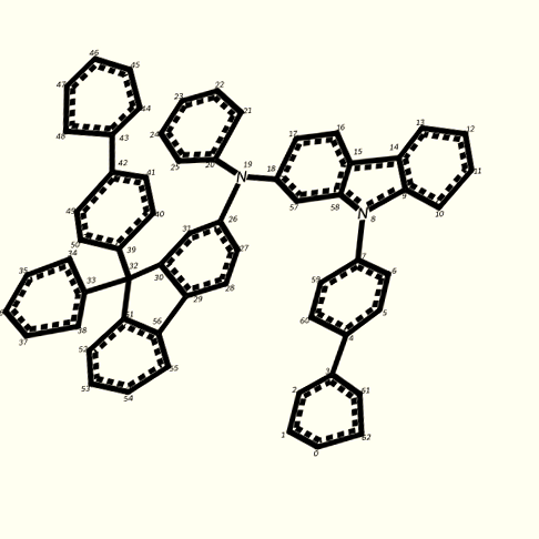 c1ccc(-c2ccc(-n3c4ccccc4c4ccc(N(c5ccccc5)c5ccc6c(c5)C(c5ccccc5)(c5ccc(-c7ccccc7)cc5)c5ccccc5-6)cc43)cc2)cc1